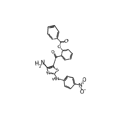 Nc1nc(Nc2ccc([N+](=O)[O-])cc2)sc1C(=O)c1ccccc1OC(=O)c1ccccc1